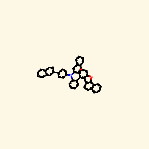 c1ccc(N(c2ccc(-c3ccc4ccccc4c3)cc2)c2ccc3ccccc3c2)c(-c2cccc3oc4c5ccccc5ccc4c23)c1